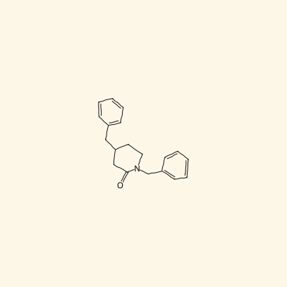 O=C1CC(Cc2ccccc2)CCN1Cc1ccccc1